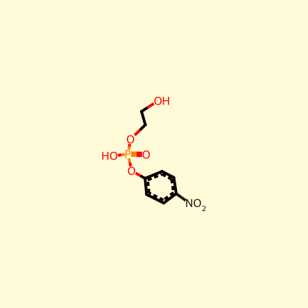 O=[N+]([O-])c1ccc(OP(=O)(O)OCCO)cc1